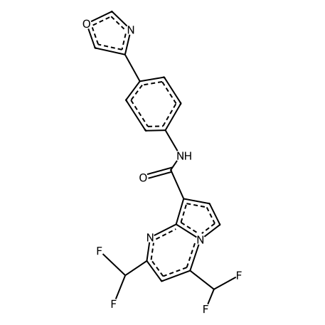 O=C(Nc1ccc(-c2cocn2)cc1)c1ccn2c(C(F)F)cc(C(F)F)nc12